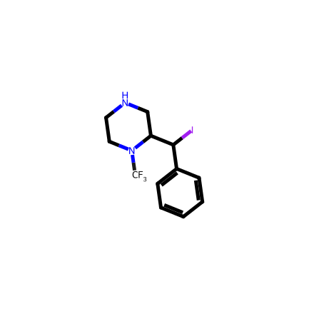 FC(F)(F)N1CCNCC1C(I)c1ccccc1